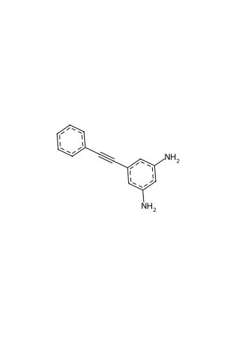 Nc1cc(N)cc(C#Cc2ccccc2)c1